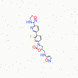 O=C1OC(CNc2ccno2)CN1c1ccc(-c2ccc(C3=NOCCN3)nc2)c(F)c1